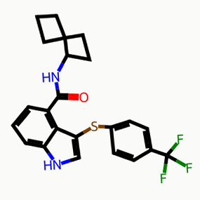 O=C(NC1CCC12CCC2)c1cccc2[nH]cc(Sc3ccc(C(F)(F)F)cc3)c12